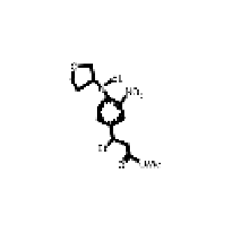 CCC(CC(=O)OC)c1ccc(N(CC)C2CCOC2)c([N+](=O)[O-])c1